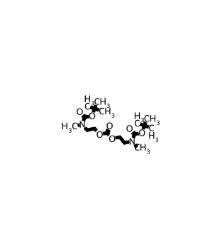 CN(CCOC(=O)OCCN(C)C(=O)OC(C)(C)C)C(=O)OC(C)(C)C